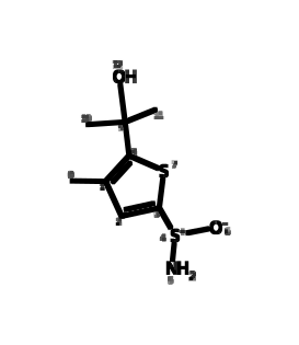 Cc1cc([S+](N)[O-])sc1C(C)(C)O